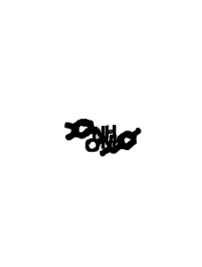 Cc1ccc(CC(C)NC(=O)Nc2ccc(C)c(C)c2)cc1